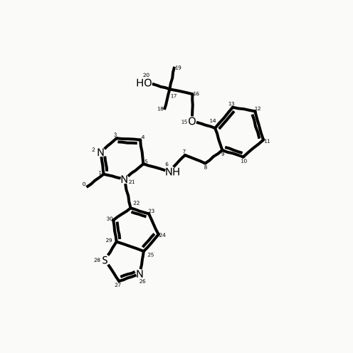 CC1=NC=CC(NCCc2ccccc2OCC(C)(C)O)N1c1ccc2ncsc2c1